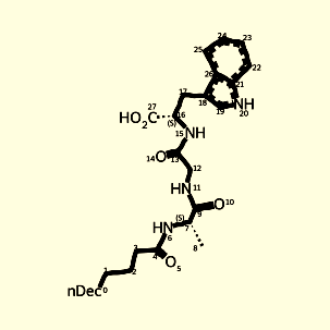 CCCCCCCCCCCCCC(=O)N[C@@H](C)C(=O)NCC(=O)N[C@@H](Cc1c[nH]c2ccccc12)C(=O)O